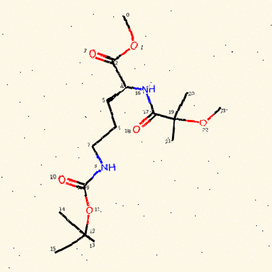 COC(=O)[C@H](CCCNC(=O)OC(C)(C)C)NC(=O)C(C)(C)OC